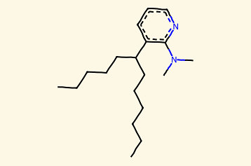 CCCCCCC(CCCCC)c1cccnc1N(C)C